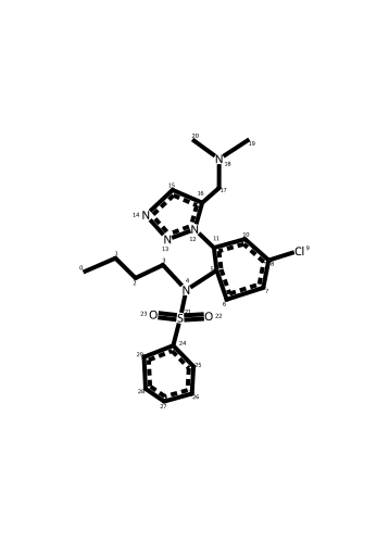 CCCCN(c1ccc(Cl)cc1-n1nncc1CN(C)C)S(=O)(=O)c1ccccc1